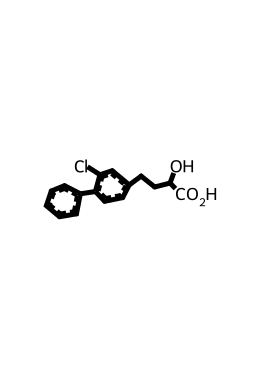 O=C(O)C(O)CCc1ccc(-c2ccccc2)c(Cl)c1